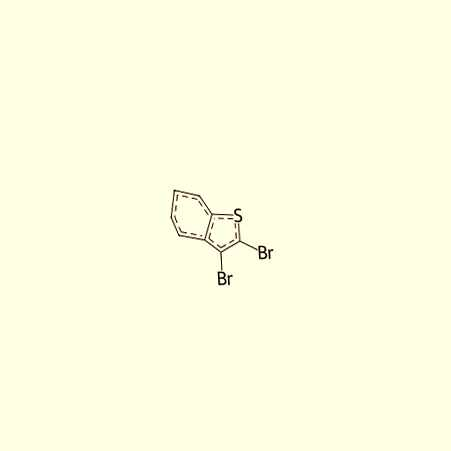 Brc1sc2ccccc2c1Br